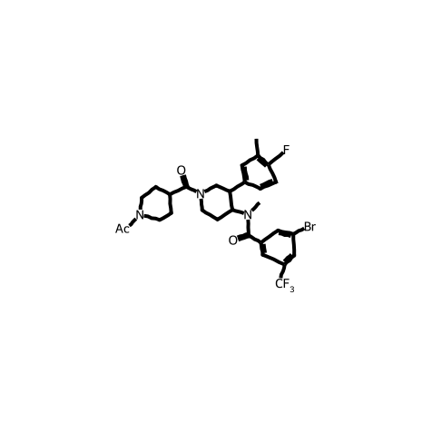 CC(=O)N1CCC(C(=O)N2CCC(N(C)C(=O)c3cc(Br)cc(C(F)(F)F)c3)C(c3ccc(F)c(C)c3)C2)CC1